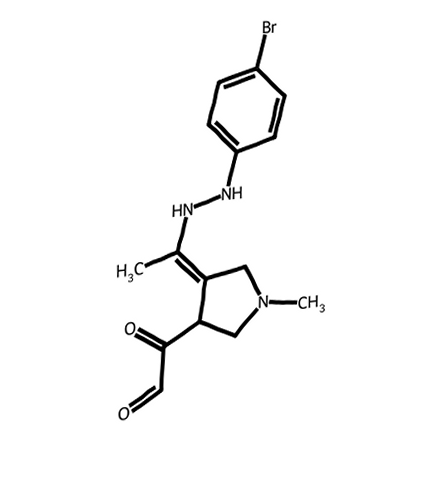 CC(NNc1ccc(Br)cc1)=C1CN(C)CC1C(=O)C=O